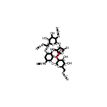 CC[C@H]1O[C@@H](O[C@@H]2C(O)[C@H](N=[N+]=[N-])CC(N=[N+]=[N-])[C@H]2O[C@H]2OC(CN=[N+]=[N-])[C@@H](O)[C@H](O)C2N=[N+]=[N-])C(O)[C@H]1O[C@H]1O[C@@H](CN=[N+]=[N-])[C@@H](O)C(O)C1N=[N+]=[N-]